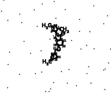 Cc1nn(C)cc1N1Cc2cc(OCc3ccn(C)n3)ccc2C1=O